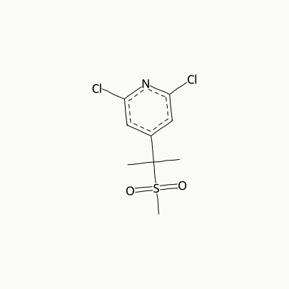 CC(C)(c1cc(Cl)nc(Cl)c1)S(C)(=O)=O